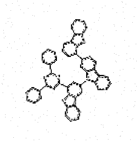 c1ccc(-c2nc(-c3ccccc3)nc(-c3cc(-n4c5ccccc5c5ccc(-c6cccc7c6oc6ccccc67)cc54)cc4c3sc3ccccc34)n2)cc1